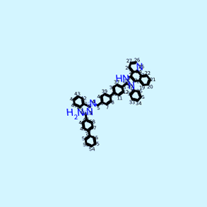 N/C(=N\C(=N/Cc1ccc(-c2ccc(C3Nc4c(c5ccccc5c5ncccc45)N3c3ccccc3)cc2)cc1)c1ccccc1)c1ccc(-c2ccccc2)cc1